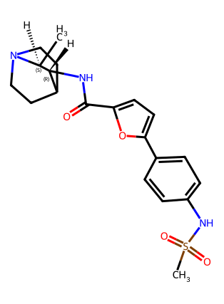 C[C@H]1[C@H](NC(=O)c2ccc(-c3ccc(NS(C)(=O)=O)cc3)o2)C2CCN1CC2